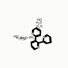 Cl.Cl.O.O.O.O.O.O.c1ccc(-c2cccnc2-c2ccccn2)nc1